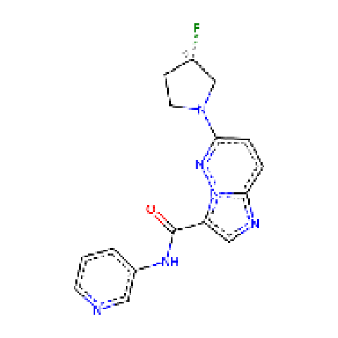 O=C(Nc1cccnc1)c1cnc2ccc(N3CC[C@H](F)C3)nn12